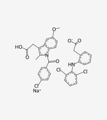 COc1ccc2c(c1)c(CC(=O)O)c(C)n2C(=O)c1ccc(Cl)cc1.O=C([O-])Cc1ccccc1Nc1c(Cl)cccc1Cl.[Na+]